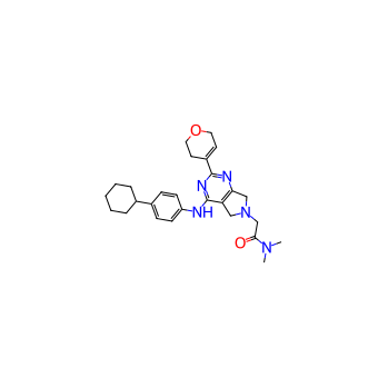 CN(C)C(=O)CN1Cc2nc(C3=CCOCC3)nc(Nc3ccc(C4CCCCC4)cc3)c2C1